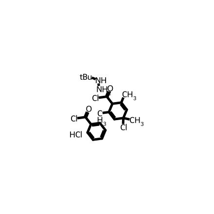 CC(C)(C)NN.CC1=CC(C)(Cl)C=C(C)C1C(=O)Cl.Cl.O=C(Cl)c1ccccc1